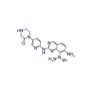 CC(C)N(N)c1c(N)ccc2cnc(Nc3ccc(N4CCNCC4=O)cn3)nc12